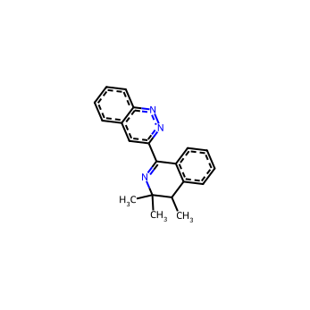 CC1c2ccccc2C(c2cc3ccccc3nn2)=NC1(C)C